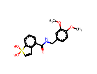 COc1ccc(CNC(=O)c2cccc3c2C=CS3(O)O)cc1OC